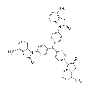 Bc1cccc2c1CC(=O)N2c1ccc(N(c2ccc(N3C(=O)Cc4c(B)cccc43)cc2)c2ccc(N3C(=O)Cc4c(B)cccc43)cc2)cc1